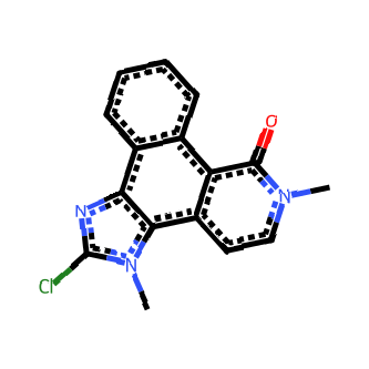 Cn1ccc2c(c1=O)c1ccccc1c1nc(Cl)n(C)c21